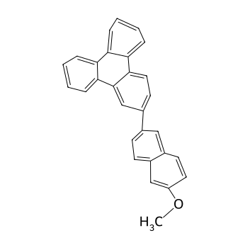 COc1ccc2cc(-c3ccc4c5ccccc5c5ccccc5c4c3)ccc2c1